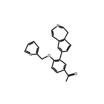 CC(=O)c1ccc(OCc2ccccn2)c(-c2ccc3c(c2)C=CN=CC3)c1